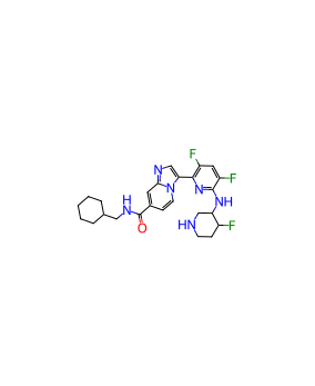 O=C(NCC1CCCCC1)c1ccn2c(-c3nc(NC4CNCCC4F)c(F)cc3F)cnc2c1